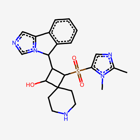 Cc1ncc(S(=O)(=O)C2C(C3c4ccccc4-c4cncn43)C(O)C23CCNCC3)n1C